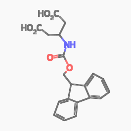 O=C(O)CC(CC(=O)O)NC(=O)OCC1c2ccccc2-c2ccccc21